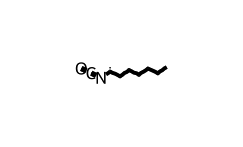 CCCCCC[CH]N=C=O